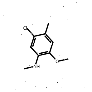 CNc1cc(Cl)c(C)cc1OC